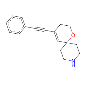 C(#Cc1ccccc1)C1=CC2(CCNCC2)OCC1